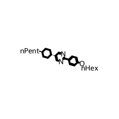 CCCCCCOc1ccc(-c2ncc([C@H]3CC[C@H](CCCCC)CC3)cn2)cc1